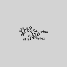 CCCCCCC(=O)Oc1cc(C(=O)OCc2cccc(Cl)c2)cc(OC(=O)CCCCCC)c1OC(=O)CCCCCC